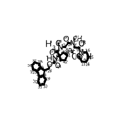 CC(C)[C@@H](C(=O)N(C)[C@@H](CC(=O)O)C(=O)N1CCCCC1)N(C)C(=O)C1(NC(=O)OCC2c3ccccc3-c3ccccc32)CCCC1